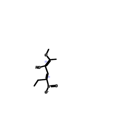 CC/C(=C\C(O)=C(/C)OC)[N+](=O)[O-]